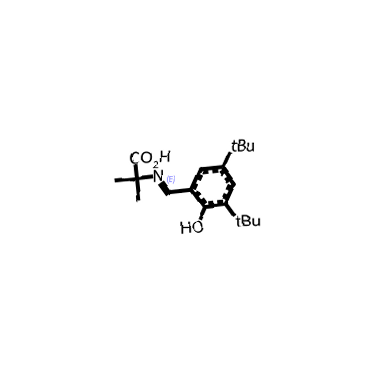 CC(C)(/N=C/c1cc(C(C)(C)C)cc(C(C)(C)C)c1O)C(=O)O